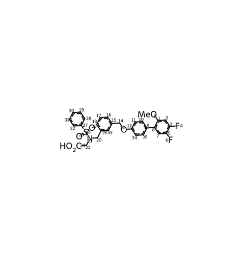 COc1cc(F)c(F)cc1-c1ccc(OCc2cccc(CN(CC(=O)O)S(=O)(=O)c3ccccc3)c2)cc1